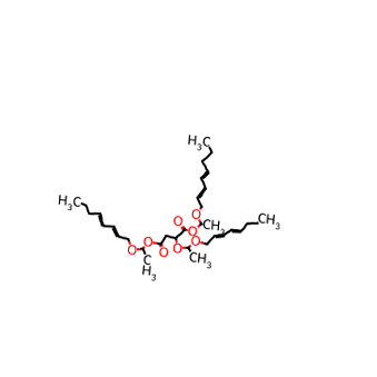 CCCC=CC=CCOC(C)OC(=O)CC(OC(C)OCC=CC=CCCC)C(=O)OC(C)OCC=CC=CCCC